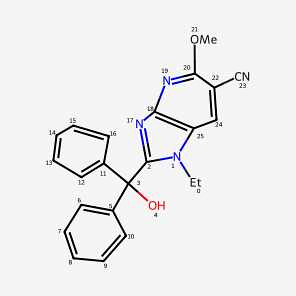 CCn1c(C(O)(c2ccccc2)c2ccccc2)nc2nc(OC)c(C#N)cc21